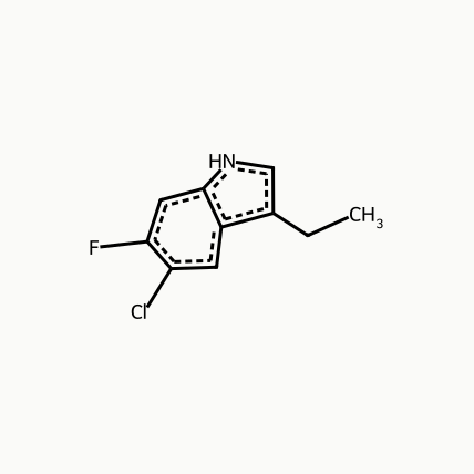 CCc1c[nH]c2cc(F)c(Cl)cc12